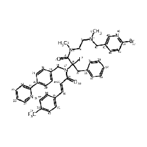 CN(CCN(C)C(=O)C(I)(Cc1ccccc1)N(Cc1ccc(-c2ccccn2)cc1)C(=O)C=Cc1ccc(C(F)(F)F)cc1)Cc1ccc(Br)nc1